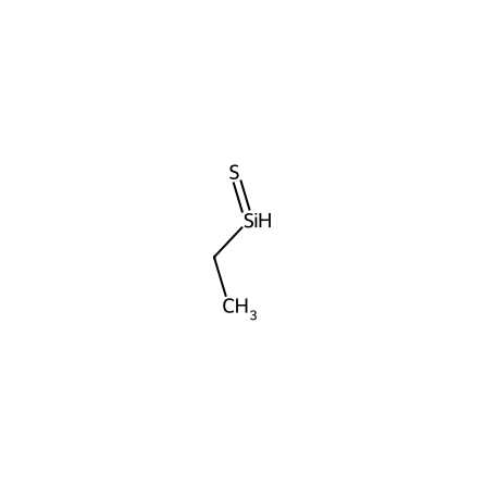 CC[SiH]=S